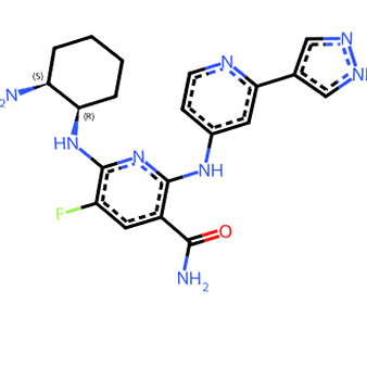 NC(=O)c1cc(F)c(N[C@@H]2CCCC[C@@H]2N)nc1Nc1ccnc(-c2cn[nH]c2)c1